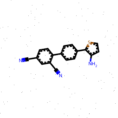 N#Cc1ccc(-c2ccc(-c3sccc3N)cc2)c(C#N)c1